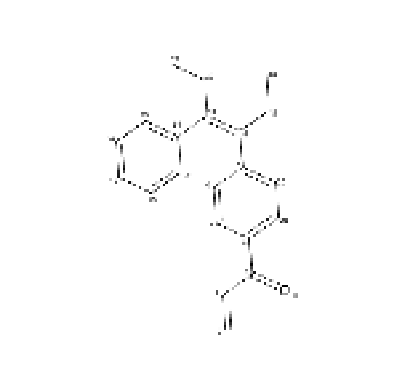 C=CC(=O)c1ccc(C(CC)=C(CC)c2ccccc2)cc1